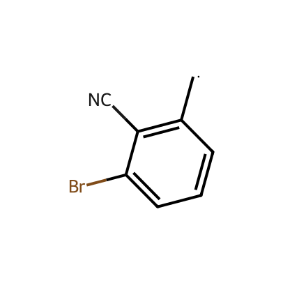 [CH2]c1cccc(Br)c1C#N